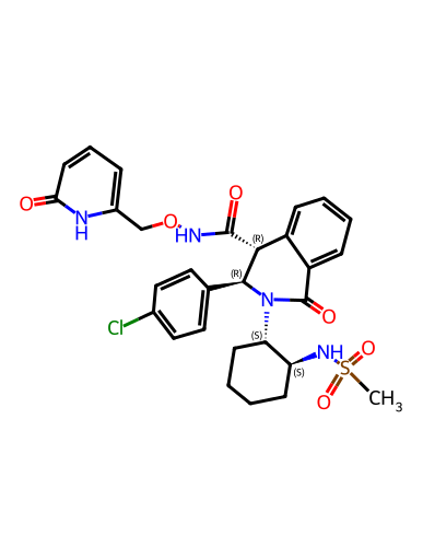 CS(=O)(=O)N[C@H]1CCCC[C@@H]1N1C(=O)c2ccccc2[C@@H](C(=O)NOCc2cccc(=O)[nH]2)[C@@H]1c1ccc(Cl)cc1